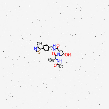 CCC(=O)NC(C(=O)N1CC(O)CC1C(=O)NCc1ccc(-c2scnc2C)cc1)C(C)(C)C